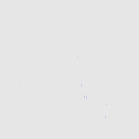 Cl.NC(=O)c1nn(CC2CCNCC2)c2c1CCc1cnc(-c3c(F)cccc3F)nc1-2